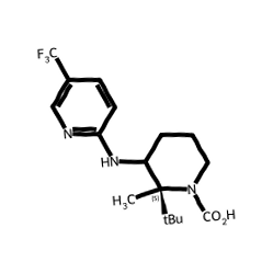 CC(C)(C)[C@@]1(C)C(Nc2ccc(C(F)(F)F)cn2)CCCN1C(=O)O